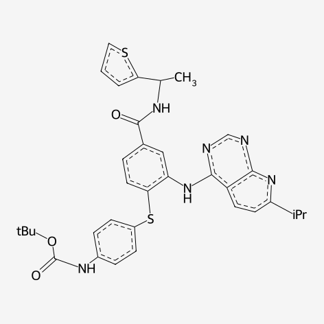 CC(C)c1ccc2c(Nc3cc(C(=O)NC(C)c4cccs4)ccc3Sc3ccc(NC(=O)OC(C)(C)C)cc3)ncnc2n1